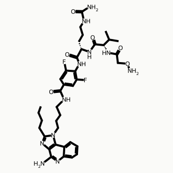 CCCCc1nc2c(N)nc3ccccc3c2n1CCCCNC(=O)c1cc(F)c(NC(=O)[C@H](CCCNC(N)=O)NC(=O)[C@@H](NC(=O)CON)C(C)C)c(F)c1